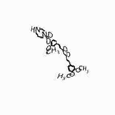 COc1ccc(C=CC(=O)CC(=O)C=Cc2ccc(OC(=O)N3CCCNCC3)c(OC)c2)cc1OC